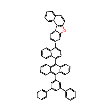 c1ccc(-c2cc(-c3ccccc3)cc(-c3c4ccccc4c(-c4ccc(-c5ccc6c(c5)oc5ccc7ccccc7c56)c5ccccc45)c4ccccc34)c2)cc1